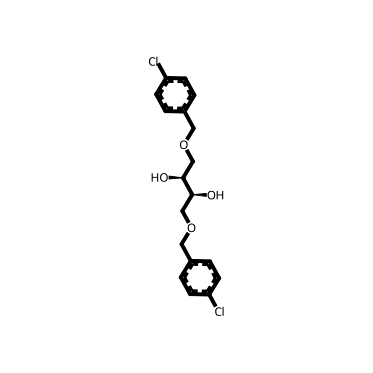 O[C@@H](COCc1ccc(Cl)cc1)[C@@H](O)COCc1ccc(Cl)cc1